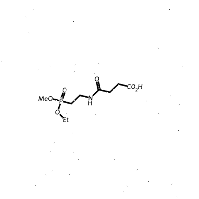 CCOP(=O)(CCNC(=O)CCC(=O)O)OC